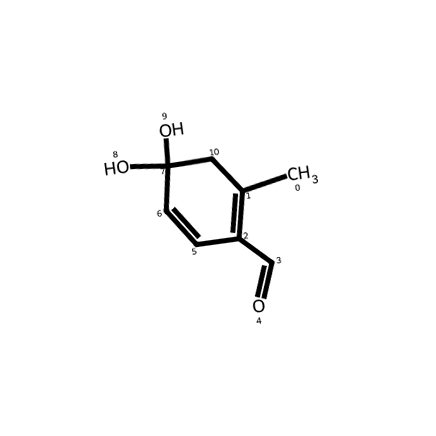 CC1=C(C=O)C=CC(O)(O)C1